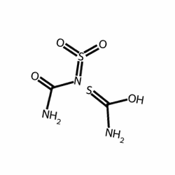 NC(=O)N=S(=O)=O.NC(O)=S